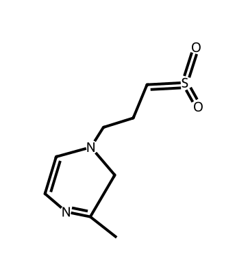 CC1=NC=CN(CCC=S(=O)=O)C1